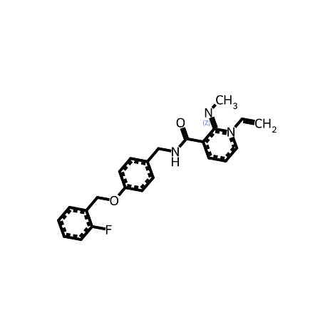 C=Cn1cccc(C(=O)NCc2ccc(OCc3ccccc3F)cc2)/c1=N/C